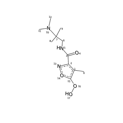 Cc1c(C(=O)NCC(C)(C)N(C)C)noc1OO